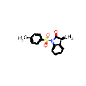 C=C1C(=O)N(S(=O)(=O)c2ccc(C)cc2)c2ccccc21